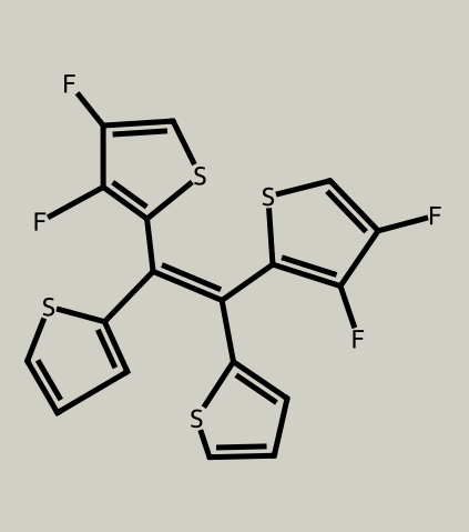 Fc1csc(C(=C(c2cccs2)c2scc(F)c2F)c2cccs2)c1F